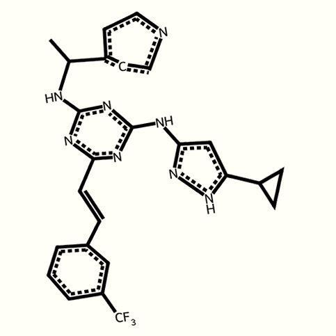 CC(Nc1nc(/C=C/c2cccc(C(F)(F)F)c2)nc(Nc2cc(C3CC3)[nH]n2)n1)c1ccncc1